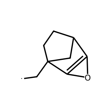 [CH2]CC12CCC(C1)C1=C2O1